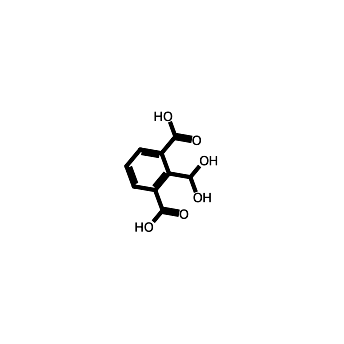 O=C(O)c1cccc(C(=O)O)c1C(O)O